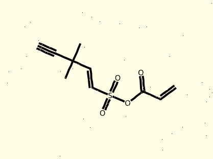 C#CC(C)(C)C=CS(=O)(=O)OC(=O)C=C